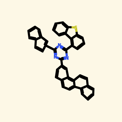 c1ccc2cc(-c3nc(-c4ccc5ccc6c7ccccc7ccc6c5c4)nc(-c4cccc5sc6ccccc6c45)n3)ccc2c1